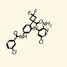 Nc1ncc(Cl)cc1NC(=O)C1(c2ccc(NC(=O)c3cccc(Cl)c3)cc2)CC(F)(F)C1